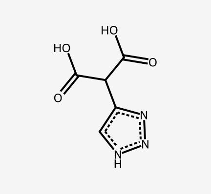 O=C(O)C(C(=O)O)c1c[nH]nn1